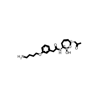 CC(=O)C[C@H]1C=CC[C@H](NC(=O)Cc2cccc(OCCCCN)c2)B(O)O1